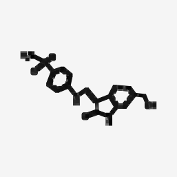 NS(=O)(=O)c1ccc(N/C=C2\C(=O)Nc3cc(CO)ccc32)cc1